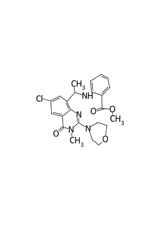 COC(=O)c1ccccc1NC(C)c1cc(Cl)cc2c(=O)n(C)c(N3CCOCC3)nc12